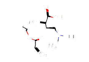 C=C(CCN(C)C)C(=O)O.C=CC(=O)OCC